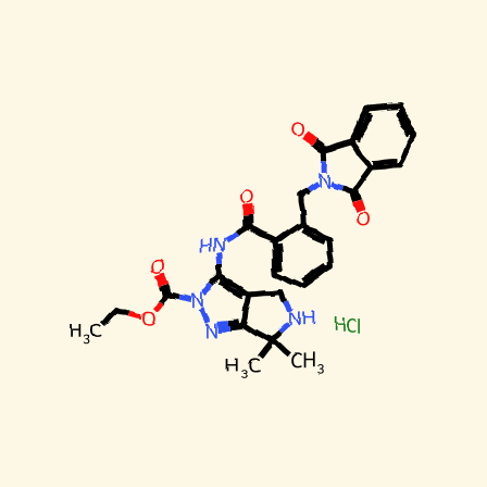 CCOC(=O)n1nc2c(c1NC(=O)c1ccccc1CN1C(=O)c3ccccc3C1=O)CNC2(C)C.Cl